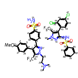 COc1ccc(-c2c(-c3ccc(S(N)(=O)=O)cc3)nn(CCN(C)C)c2C(F)(F)F)cc1.Cn1nc(NS(=O)(=O)c2ccccc2)c(-c2ccc(Cl)cc2Cl)c1C(F)(F)F